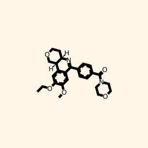 CCOc1cc2c(cc1OC)C(c1ccc(C(=O)N3CCOCC3)cc1)=N[C@@H]1CCOC[C@H]21